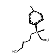 C[Si](CCl)(CCCCO)c1ccc(Cl)cc1